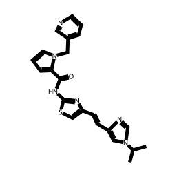 CC(C)n1cnc(C=Cc2csc(NC(=O)c3cccn3Cc3cccnc3)n2)c1